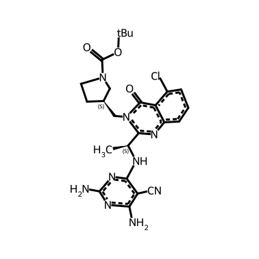 C[C@H](Nc1nc(N)nc(N)c1C#N)c1nc2cccc(Cl)c2c(=O)n1C[C@H]1CCN(C(=O)OC(C)(C)C)C1